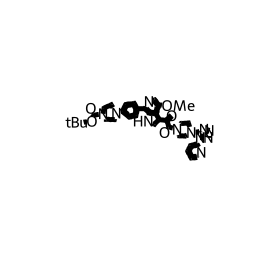 COc1cnc(-c2ccc(N3CCN(C(=O)OC(C)(C)C)CC3)cc2)c2c1C(C(=O)C(=O)N1CCN(c3nnnn3-c3ccccn3)CC1)CN2